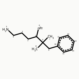 CCC[C](CCCN)C(C)(C)Cc1ccccc1